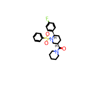 O=C([C@@H]1CC[C@H](c2ccc(F)cc2)N(S(=O)(=O)c2ccccc2)C1)N1CCCCC1